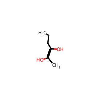 CCCC(O)=C(C)O